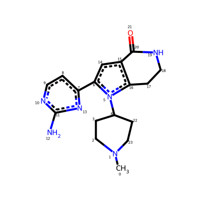 CN1CCC(n2c(-c3ccnc(N)n3)cc3c2CCNC3=O)CC1